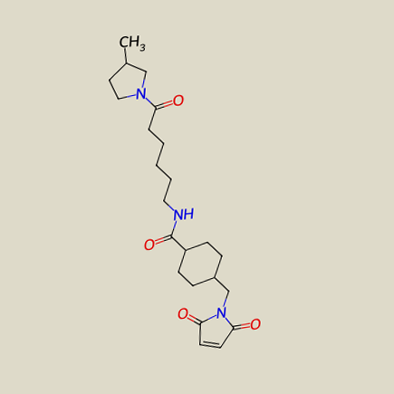 CC1CCN(C(=O)CCCCCNC(=O)C2CCC(CN3C(=O)C=CC3=O)CC2)C1